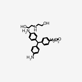 C=O.Nc1ccc(C(c2ccc(N)cc2)c2ccc(N)cc2)cc1.OCCNCCO